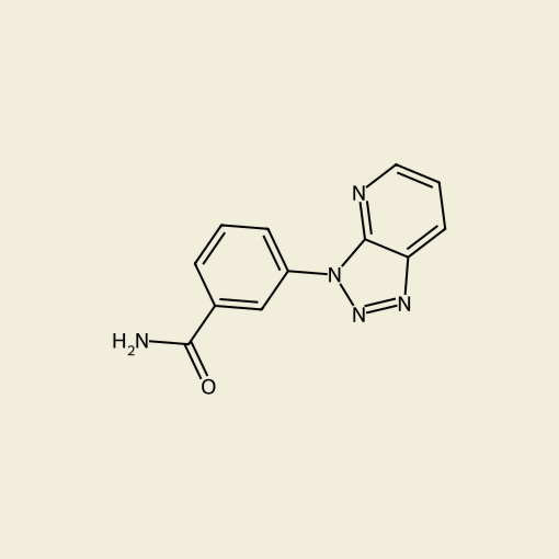 NC(=O)c1cccc(-n2nnc3cccnc32)c1